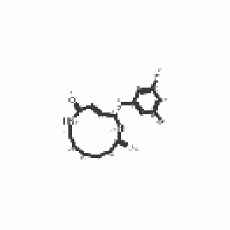 O=C1/C=C/[C@H](Cc2cc(F)cc(F)c2)NC(=O)CCCCCN1